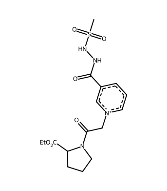 CCOC(=O)C1CCCN1C(=O)C[n+]1cccc(C(=O)NNS(C)(=O)=O)c1